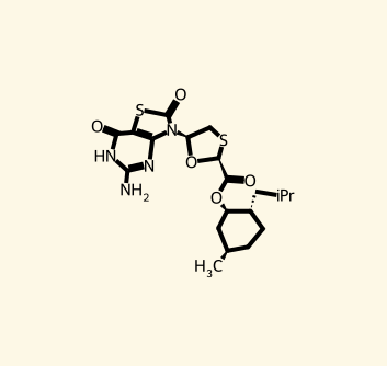 CC(C)C[C@@H]1CC[C@@H](C)C[C@H]1OC(=O)[C@H]1O[C@@H](n2c(=O)sc3c(=O)[nH]c(N)nc32)CS1